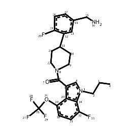 CCCn1cc(C(=O)N2CCC(c3cc(CN)ccc3F)CC2)c2c(OC(F)(F)F)ccc(F)c21